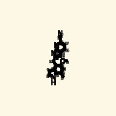 COc1cc(C)c2[nH]ccc2c1Cn1cc2ccc(C#N)nc2n1